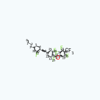 C=CCCc1ccc(C#Cc2ccc(C(F)(F)Oc3cc(F)c(C(F)(F)F)c(F)c3)c(F)c2)c(F)c1